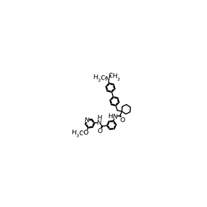 COc1cncc(NC(=O)c2cccc(NC(=O)C3(Cc4ccc(-c5ccc(N(C)C)cc5)cc4)CCCCC3)c2)c1